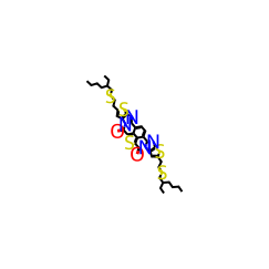 CCCCC(CC)CSCCc1cc2c(nc3c4ccc5c6c(sc(c(=O)n23)c46)c(=O)n2c3cc(CCSCC(CC)CCCC)sc3nc52)s1